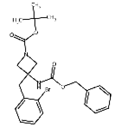 CC(C)(C)OC(=O)N1CC(Cc2ccccc2Br)(NC(=O)OCc2ccccc2)C1